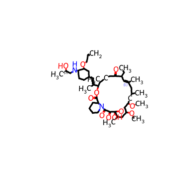 C=CCOC1CC(C=C(C)C2OC(=O)C3CCCCN3C(=O)C(=O)C3(O)OC(C(OC)CC(C)C/C(C)=C/C(CC)C(=O)CCC2C)C(OC)CC3C)CCC1NC[C@H](C)O